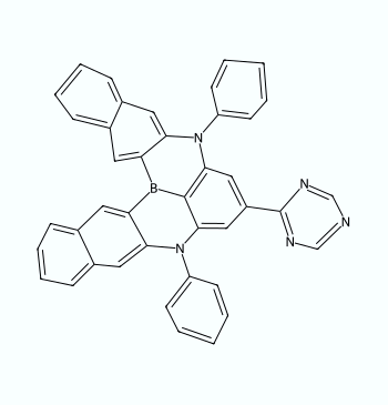 c1ccc(N2c3cc4ccccc4cc3B3c4cc5ccccc5cc4N(c4ccccc4)c4cc(-c5ncncn5)cc2c43)cc1